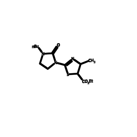 CCCCN1CCN(C2=NC(C)C(C(=O)OCC)S2)C1=O